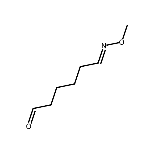 CON=CCCCCC=O